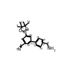 CC1(C)OB(c2cc(C#N)cc(-c3ccc(CN)cc3)c2)OC1(C)C